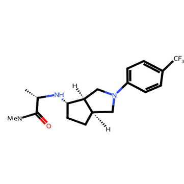 CNC(=O)[C@H](C)N[C@H]1CC[C@@H]2CN(c3ccc(C(F)(F)F)cc3)C[C@@H]21